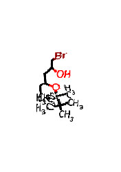 CC[C@@H](CC(O)CBr)O[Si](C)(C)C(C)(C)C